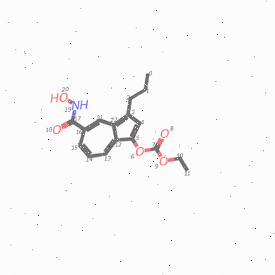 CCCc1cc(OC(=O)OCC)c2cccc(C(=O)NO)cc1-2